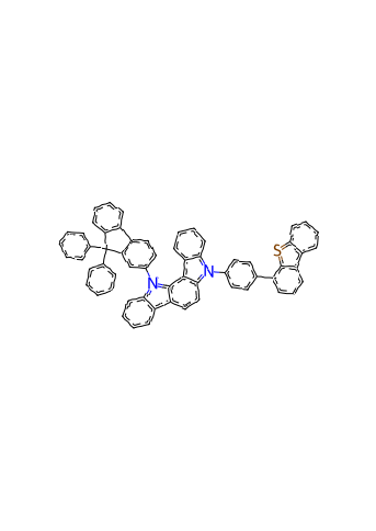 c1ccc(C2(c3ccccc3)c3ccccc3-c3ccc(-n4c5ccccc5c5ccc6c(c7ccccc7n6-c6ccc(-c7cccc8c7sc7ccccc78)cc6)c54)cc32)cc1